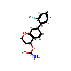 NC(=O)OC1CCOc2cc(-c3ccccc3F)ccc21